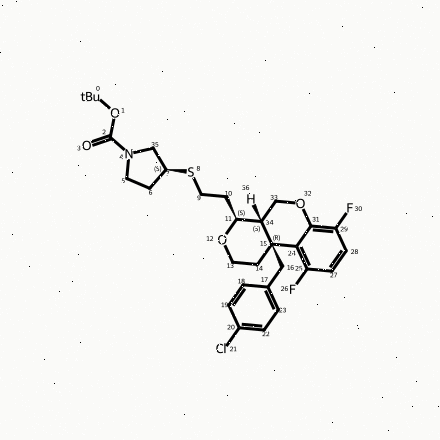 CC(C)(C)OC(=O)N1CC[C@H](SCC[C@@H]2OCC[C@@]3(Cc4ccc(Cl)cc4)c4c(F)ccc(F)c4OC[C@@H]23)C1